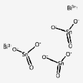 [Bi+3].[Bi+3].[O]=[Sn]([O-])[O-].[O]=[Sn]([O-])[O-].[O]=[Sn]([O-])[O-]